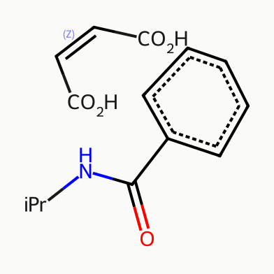 CC(C)NC(=O)c1ccccc1.O=C(O)/C=C\C(=O)O